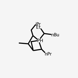 CCCCC(CC)[PH]12CC(C(C)C1CC(C)C)C2CCC